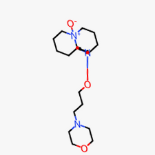 [O-][N+]12CCCCC13C=CN(OCCCN1CCOCC1)C=C3CCC2